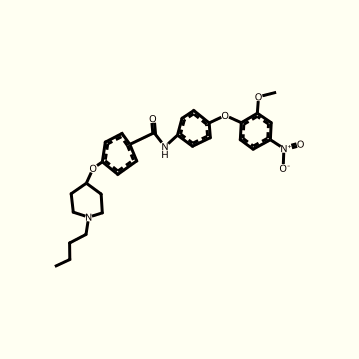 CCCCN1CCC(Oc2ccc(C(=O)Nc3ccc(Oc4ccc([N+](=O)[O-])cc4OC)cc3)cc2)CC1